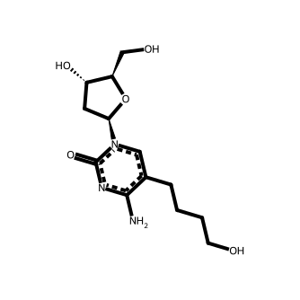 Nc1nc(=O)n([C@H]2C[C@H](O)[C@@H](CO)O2)cc1CCCCO